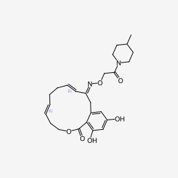 CC1CCN(C(=O)CON=C2/C=C/CC/C=C/CCOC(=O)c3c(O)cc(O)cc3C2)CC1